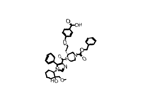 COC[C@]1(O)CCCC[C@H]1n1cnc(C(=O)N2CCN(C(=O)OCc3ccccc3)C[C@H]2CCOc2ccc(C(=O)O)cc2)c1-c1ccccc1